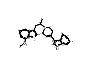 COc1cccc2c(CC(C)N3CC=C(c4c[nH]c5ccccc45)CC3)coc12